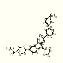 CC(=O)N1CCC(c2ccc3c(c2)[nH]/c(=N\C(=O)c2ccnc(-c4cnn(C)c4)c2)n3C2CCCC2)CC1